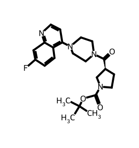 CC(C)(C)OC(=O)N1CC[C@H](C(=O)N2CCN(c3ccnc4cc(F)ccc34)CC2)C1